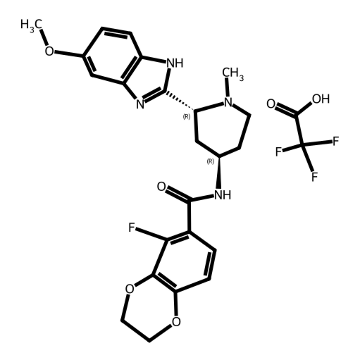 COc1ccc2[nH]c([C@H]3C[C@H](NC(=O)c4ccc5c(c4F)OCCO5)CCN3C)nc2c1.O=C(O)C(F)(F)F